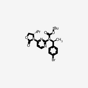 CC(C)[C@H]1COC(=O)N1c1ccnc(N(C(=O)OC(C)(C)C)[C@@H](C)c2ccc(Br)cc2)n1